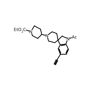 C#Cc1ccc2c(c1)C1(CCN(C3CCN(C(=O)OCC)CC3)CC1)CN2C(C)=O